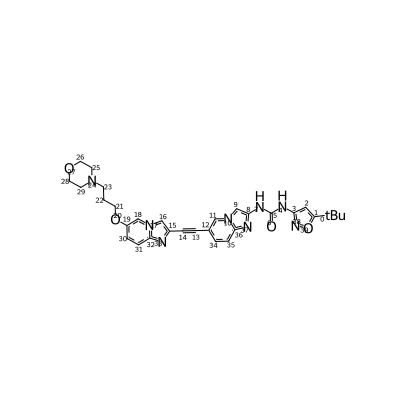 CC(C)(C)c1cc(NC(=O)Nc2cn3cc(C#Cc4cn5cc(OCCCN6CCOCC6)ccc5n4)ccc3n2)no1